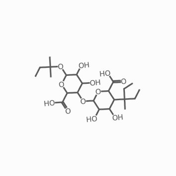 CCC(C)(C)OC1OC(C(=O)O)C(OC2OC(C(=O)O)C(C(C)(CC)CC)C(O)C2O)C(O)C1O